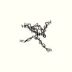 CC(C)(COCCO)OCCN(Cc1ccccc1OCCOCCOCCO)c1nc(N(CCOCCOCCO)CCOCCOCCO)nc(N(CCOCCOCCO)Cc2ccccc2OCCOCCOCCO)n1